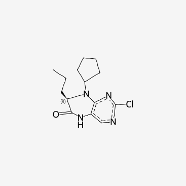 CCC[C@@H]1C(=O)Nc2cnc(Cl)nc2N1C1CCCC1